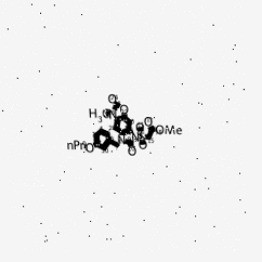 CCCOc1cccc(Cn2c(=O)n(S(=O)(=O)CC(=O)OC)c3cc4oc(=O)n(C)c4cc32)c1